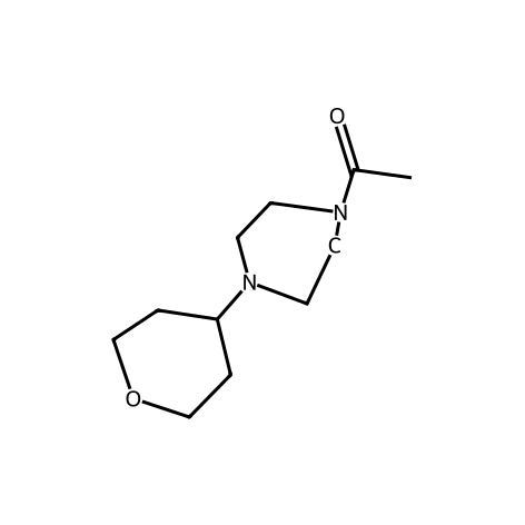 CC(=O)N1CCN(C2CCOCC2)CC1